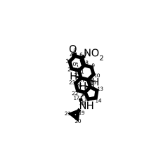 C[C@]12CCC(=O)C([N+](=O)[O-])=C1CC[C@H]1[C@@H]3CCC[C@@]3(CNC3CC3)CC[C@@H]12